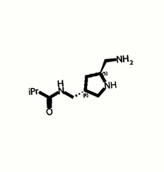 CC(C)C(=O)NC[C@H]1CN[C@H](CN)C1